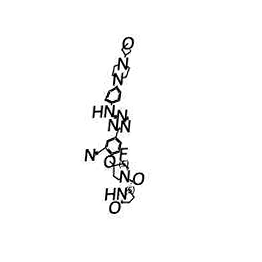 N#Cc1cc(-c2ncnc(Nc3ccc(N4CCN(C5COC5)CC4)cc3)n2)ccc1OC1CCN(C(=O)[C@@H]2CCC(=O)N2)C[C@@H]1F